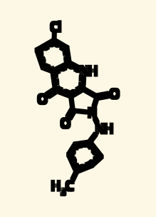 Cc1ccc(NN2C(=O)c3[nH]c4cc(Cl)ccc4c(=O)c3C2=O)cc1